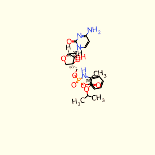 CC(C)OC(=O)[C@H](C)NP(=O)(OC[C@@]12CO[C@@H]([C@H](n3ccc(N)nc3=O)O1)[C@@H]2O)Oc1ccccc1